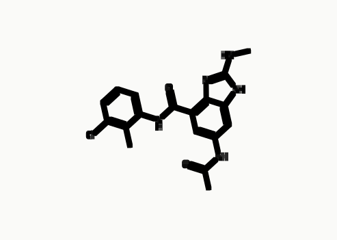 CNc1nc2c(C(=O)Nc3cccc(Cl)c3C)cc(NC(C)=O)cc2[nH]1